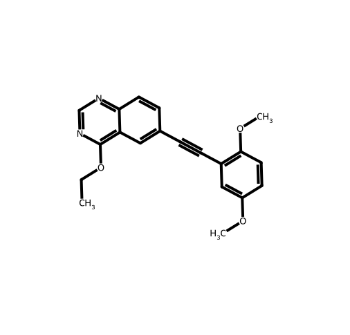 CCOc1ncnc2ccc(C#Cc3cc(OC)ccc3OC)cc12